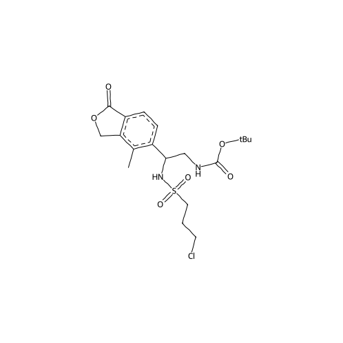 Cc1c(C(CNC(=O)OC(C)(C)C)NS(=O)(=O)CCCCl)ccc2c1COC2=O